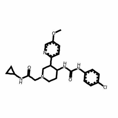 COc1ccc(C2CN(CC(=O)NC3CC3)CCC2NC(=O)Nc2ccc(Cl)cc2)nc1